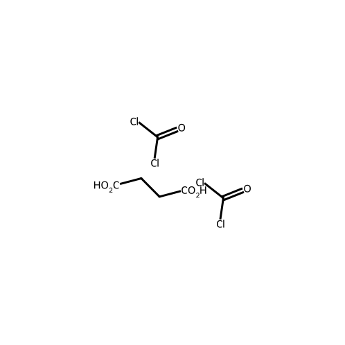 O=C(Cl)Cl.O=C(Cl)Cl.O=C(O)CCC(=O)O